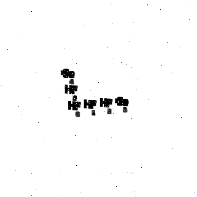 F.F.F.F.[Se].[Se]